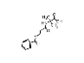 CC(C)(NC(=O)CCSC(=O)c1ccccc1)C(=O)O